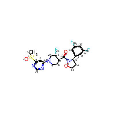 C[S+]([O-])c1cc(N2CC[C@H](C(=O)N3OCC[C@@H]3c3cc(F)cc(F)c3)[C@H](F)C2)ncn1